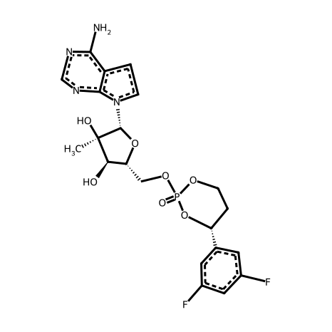 C[C@@]1(O)[C@H](O)[C@@H](COP2(=O)OCC[C@H](c3cc(F)cc(F)c3)O2)O[C@H]1n1ccc2c(N)ncnc21